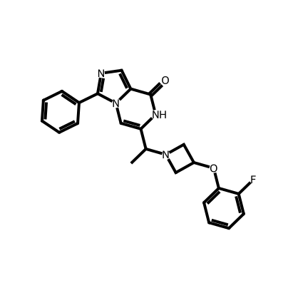 CC(c1cn2c(-c3ccccc3)ncc2c(=O)[nH]1)N1CC(Oc2ccccc2F)C1